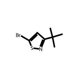 CC(C)(C)c1cc(Br)sn1